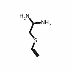 C=CSCC(N)N